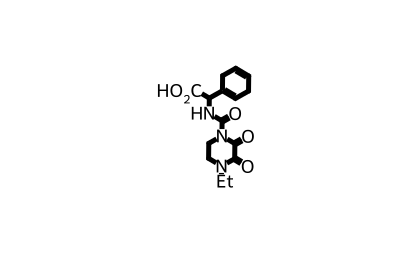 CCN1CCN(C(=O)NC(C(=O)O)C2=CCC=CC2)C(=O)C1=O